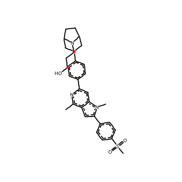 Cc1nc(-c2ccc(N3CC4CCC(C3)N4CCCO)cc2)cc2c1cc(-c1ccc(S(C)(=O)=O)cc1)n2C